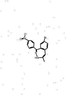 CC1=Cc2ccc(Br)cc2C(c2ccc([N+](=O)[O-])cc2)=NN1